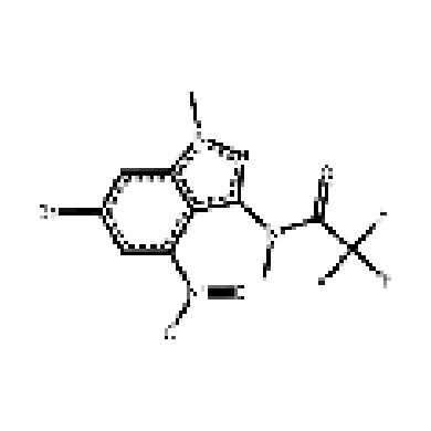 CN(C(=O)C(F)(F)F)c1nn(C)c2cc(Br)cc([N+](=O)[O-])c12